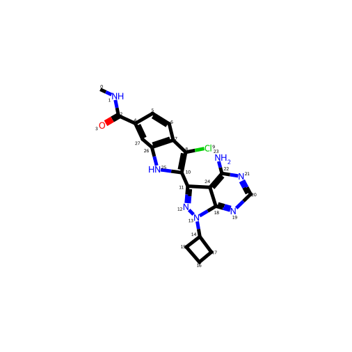 CNC(=O)c1ccc2c(Cl)c(-c3nn(C4CCC4)c4ncnc(N)c34)[nH]c2c1